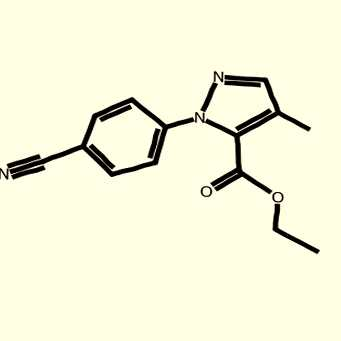 CCOC(=O)c1c(C)cnn1-c1ccc(C#N)cc1